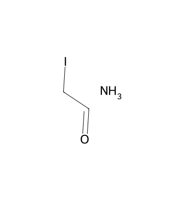 N.O=CCI